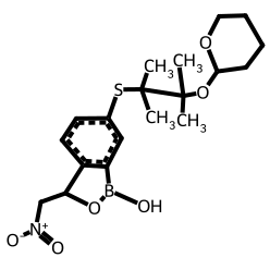 CC(C)(OC1CCCCO1)C(C)(C)Sc1ccc2c(c1)B(O)OC2C[N+](=O)[O-]